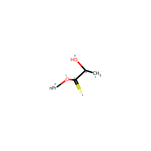 CCCOC(=S)C(C)O